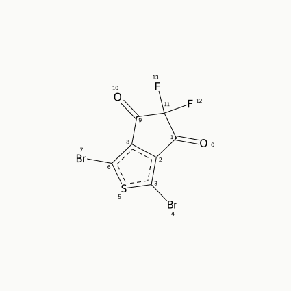 O=C1c2c(Br)sc(Br)c2C(=O)C1(F)F